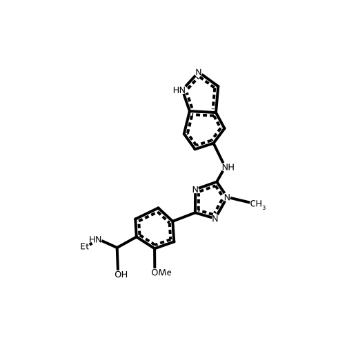 CCNC(O)c1ccc(-c2nc(Nc3ccc4[nH]ncc4c3)n(C)n2)cc1OC